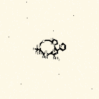 Nc1cc(-c2ccccn2)c2nc1-c1nnc(o1)C(O)(C(F)(F)F)CCCCC[C@@H]1CCCN21